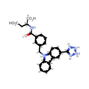 O=C(O)C[C@H](NC(=O)c1cccc(Cn2c3ccccc3c3cc(-c4nn[nH]n4)ccc32)c1)C(=O)O